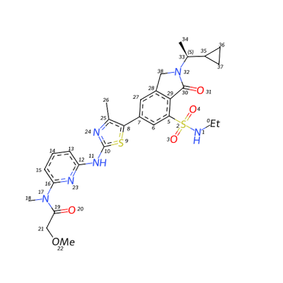 CCNS(=O)(=O)c1cc(-c2sc(Nc3cccc(N(C)C(=O)COC)n3)nc2C)cc2c1C(=O)N([C@@H](C)C1CC1)C2